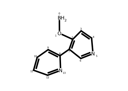 BOc1ccncc1-c1ccccn1